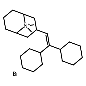 C[N+]1(C)C2CCCC1CC(C=C(C1CCCCC1)C1CCCCC1)C2.[Br-]